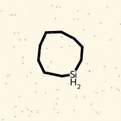 C1CCCC[SiH2]CCCC1